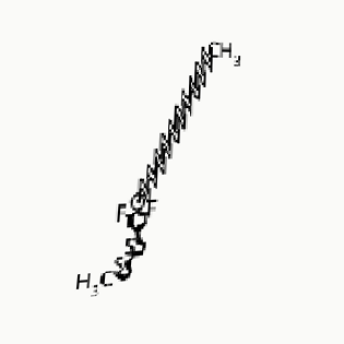 CN=NN=NN=NN=NN=NN=NN=NN=NN=NN=NOc1c(F)cc(-c2ccc(-c3ccc(C)s3)s2)cc1F